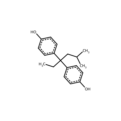 CCC(CC(C)C)(c1ccc(O)cc1)c1ccc(O)cc1